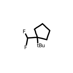 CC(C)(C)C1(C(F)F)CCCC1